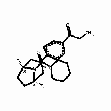 CCC(=O)c1ccc([C@H]2C[C@H]3CC[C@@H](C2)N3C(=O)N2CCCCC2)cc1